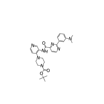 CN(C)c1cccc(-c2nccc(C(=O)Nc3cnccc3N3CCN(C(=O)OC(C)(C)C)CC3)n2)c1